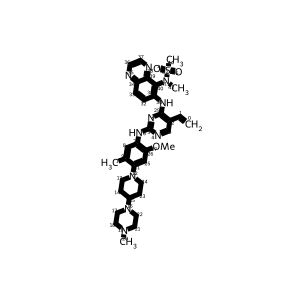 C=Cc1cnc(Nc2cc(C)c(N3CCC(N4CCN(C)CC4)CC3)cc2OC)nc1Nc1ccc2nccnc2c1N(C)S(C)(=O)=O